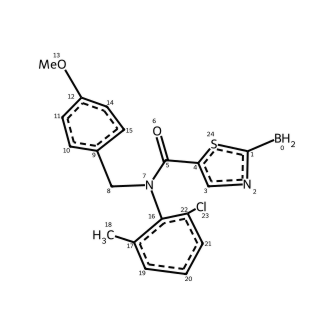 Bc1ncc(C(=O)N(Cc2ccc(OC)cc2)c2c(C)cccc2Cl)s1